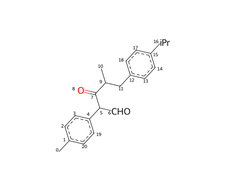 Cc1ccc(C(C=O)C(=O)C(C)Cc2ccc(C(C)C)cc2)cc1